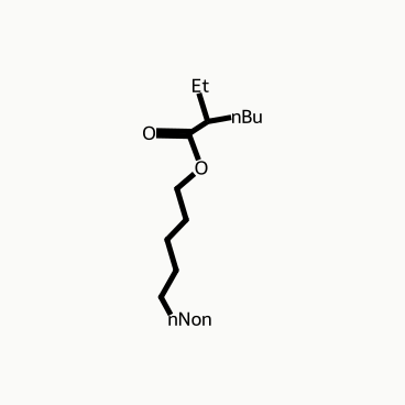 CCCCCCCCCCCCCCOC(=O)C(CC)CCCC